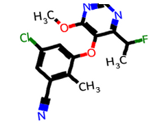 COc1ncnc(C(C)F)c1Oc1cc(Cl)cc(C#N)c1C